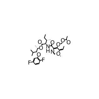 C=N/C(C(=O)N[C@H](C(=O)O[C@@H](C)[C@H](Oc1cc(F)ccc1F)C(C)C)[C@@H](C)CC)=C(OCOC(C)=O)\C(=C/C)OC